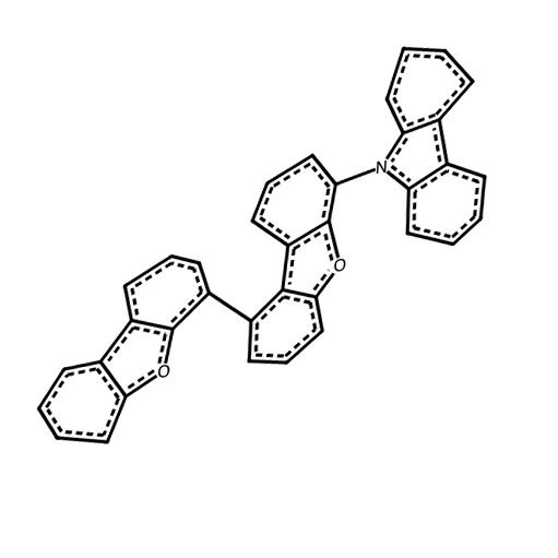 c1ccc2c(c1)oc1c(-c3cccc4oc5c(-n6c7ccccc7c7ccccc76)cccc5c34)cccc12